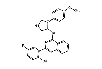 COc1ccc([C@@H]2CNCC2Nc2nc(-c3cc(F)ccc3O)nc3ccccc23)cc1